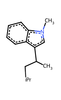 CC(C)CC(C)c1cn(C)c2ccccc12